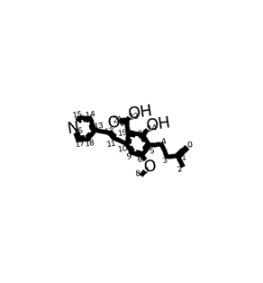 C=C(C)CCc1c(OC)cc(/C=C/c2ccncc2)c(C(=O)O)c1O